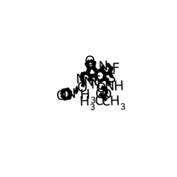 CC(C)(C)OC(=O)Nc1sc2c(F)cnc(-c3c4c(c5cnc(OCCN6CCOCC6)nc5c3F)COC4)c2c1C#N